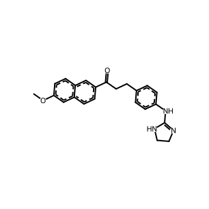 COc1ccc2cc(C(=O)CCc3ccc(NC4=NCCN4)cc3)ccc2c1